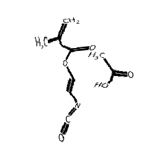 C=C(C)C(=O)OC=CN=C=O.CC(=O)O